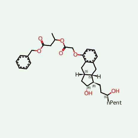 CCCCC[C@H](O)CC[C@@H]1[C@H]2Cc3cccc(OCC(=O)OC(C)CC(=O)OCc4ccccc4)c3C[C@H]2C[C@H]1O